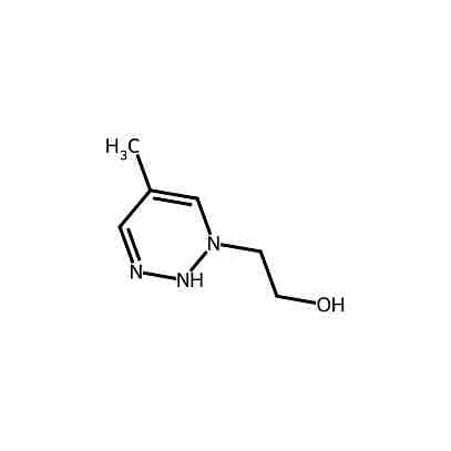 CC1=CN(CCO)NN=C1